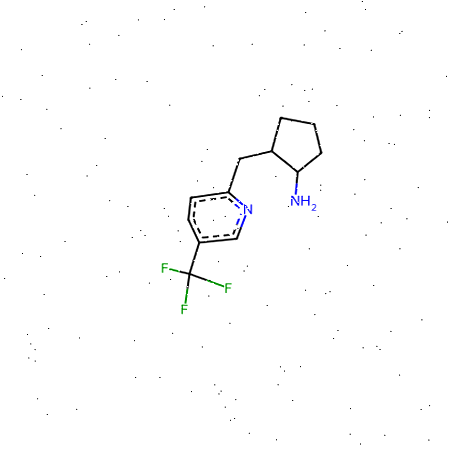 NC1CCCC1Cc1ccc(C(F)(F)F)cn1